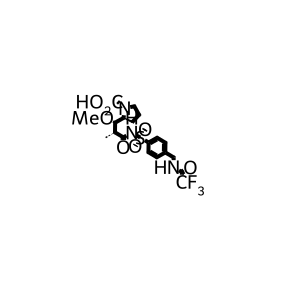 CO[C@H]([C@@H](C)C(=O)NS(=O)(=O)c1ccc(CNC(=O)C(F)(F)F)cc1)[C@@H]1CCCN1C(=O)O